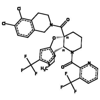 CCC[C@H]1N(C(=O)c2ncccc2C(F)(F)F)CCC[C@]1(Oc1csc(C(F)(F)F)c1)C(=O)N1CCc2c(ccc(Cl)c2Cl)C1